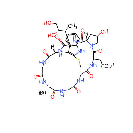 CC[C@H](C)[C@@H]1NC(=O)CNC(=O)[C@H]2Cc3c([nH]c4ccccc34)SCC(NC(=O)CNC1=O)C(=O)NC(CC(=O)O)C(=O)N1C[C@H](O)C[C@H]1C(=O)N[C@@H]([C@@H](C)[C@H](O)CO)C(=O)N2